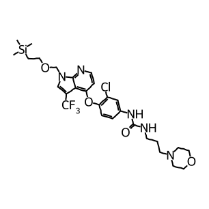 C[Si](C)(C)CCOCn1cc(C(F)(F)F)c2c(Oc3ccc(NC(=O)NCCCN4CCOCC4)cc3Cl)ccnc21